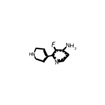 Nc1ccnc(C2=CCNCC2)c1F